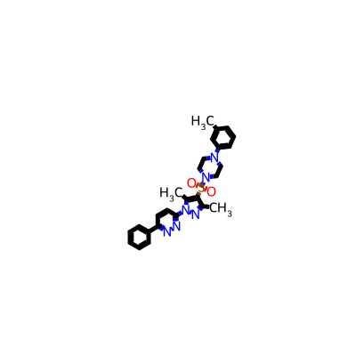 Cc1cccc(N2CCN(S(=O)(=O)c3c(C)nn(-c4ccc(-c5ccccc5)nn4)c3C)CC2)c1